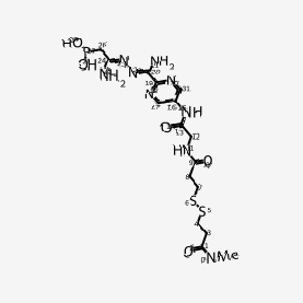 CNC(=O)CCSSCCC(=O)NCC(=O)Nc1cnc(/C(N)=N/N=C(\N)CP(O)O)nc1